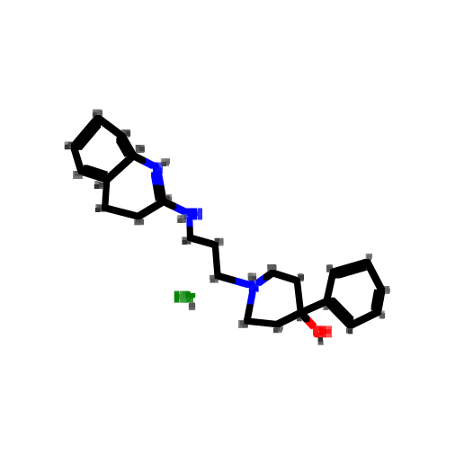 Br.OC1(c2ccccc2)CCN(CCCNC2=Nc3ccccc3CC2)CC1